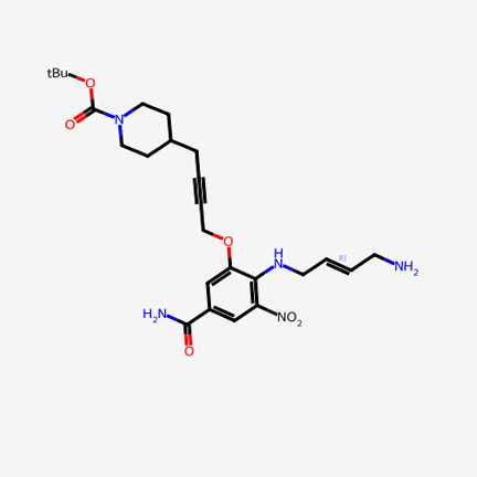 CC(C)(C)OC(=O)N1CCC(CC#CCOc2cc(C(N)=O)cc([N+](=O)[O-])c2NC/C=C/CN)CC1